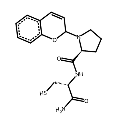 NC(=O)[C@H](CS)NC(=O)[C@@H]1CCCN1C1C=Cc2ccccc2O1